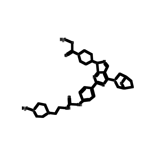 COC(=O)N1CCC(n2ncc3c(N4CC5CCC(C4)O5)nc(-c4ccc(NC(=O)NCCN5CCN(C)CC5)cc4)nc32)CC1